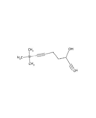 C#CC(O)CCC#C[Si](C)(C)C